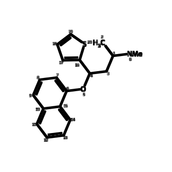 CNC(C)CC(Oc1cccc2ccccc12)c1cccs1